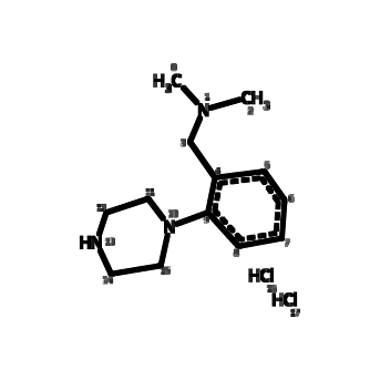 CN(C)Cc1ccccc1N1CCNCC1.Cl.Cl